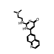 CN(C)CCNc1nc(=O)cc(-c2ccc3ncccc3c2)[nH]1